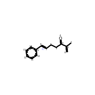 C=C(C)C(=O)CC/C=C/c1ccccc1